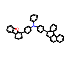 c1ccc(N(c2ccc(-c3cc4ccc5ccccc5c4c4ccccc34)cc2)c2ccc(-c3cccc4c3oc3ccccc34)cc2)cc1